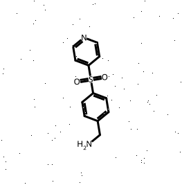 NCc1ccc(S(=O)(=O)c2ccncc2)cc1